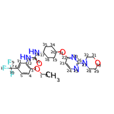 CCOc1ccc(C(F)(F)F)cc1NC(=O)N[C@H]1CC[C@H](Oc2ccnc(N3CCOCC3)n2)CC1